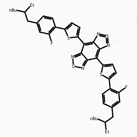 CCCCC(CC)Cc1ccc(-c2ccc(-c3c4c(c(-c5ccc(-c6ccc(CC(CC)CCCC)cc6F)s5)c5nonc35)N=S=N4)s2)c(F)c1